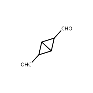 O=CC1C2C(C=O)C12